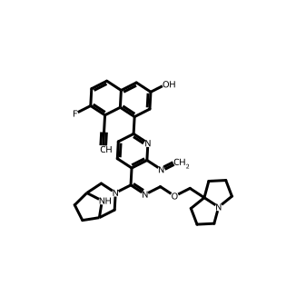 C#Cc1c(F)ccc2cc(O)cc(-c3ccc(/C(=N\COCC45CCCN4CCC5)N4CC5CCC(C4)N5)c(N=C)n3)c12